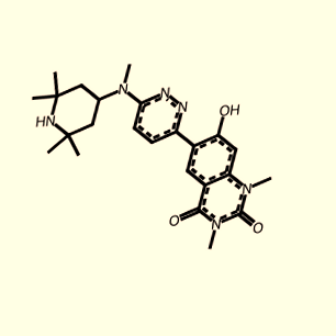 CN(c1ccc(-c2cc3c(=O)n(C)c(=O)n(C)c3cc2O)nn1)C1CC(C)(C)NC(C)(C)C1